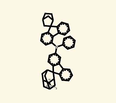 C[C@H]1C2CC3CC(C2)C2(c4ccccc4-c4cc(N(c5ccccc5)c5cccc6c5-c5ccccc5C65CC6CCC5C6)ccc42)C1C3